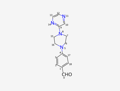 O=Cc1ccc(N2CCN(c3cnccn3)CC2)cc1